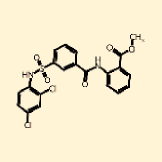 COC(=O)c1ccccc1NC(=O)c1cccc(S(=O)(=O)Nc2ccc(Cl)cc2Cl)c1